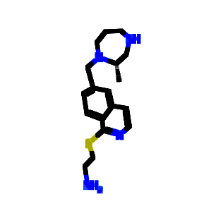 C[C@H]1CNCCCN1Cc1ccc2c(SCCN)nccc2c1